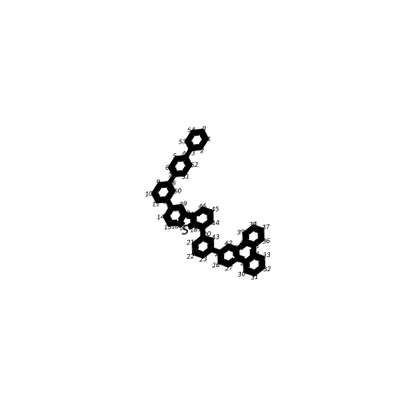 c1ccc(-c2ccc(-c3cccc(-c4ccc5sc6c(-c7cccc(-c8ccc9c%10ccccc%10c%10ccccc%10c9c8)c7)cccc6c5c4)c3)cc2)cc1